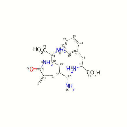 C=C(C)C(N)=O.NC(Cc1ccccc1)C(=O)O.NCCCCC(N)C(=O)O